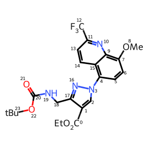 CCOC(=O)c1cn(-c2ccc(OC)c3nc(C(F)(F)F)ccc23)nc1CNC(=O)OC(C)(C)C